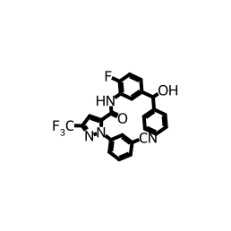 N#Cc1cccc(-n2nc(C(F)(F)F)cc2C(=O)Nc2cc(C(O)c3ccccc3)ccc2F)c1